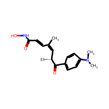 CC[C@H](C=C(C)C=CC(=O)NO)C(=O)c1ccc(N(C)C)cc1